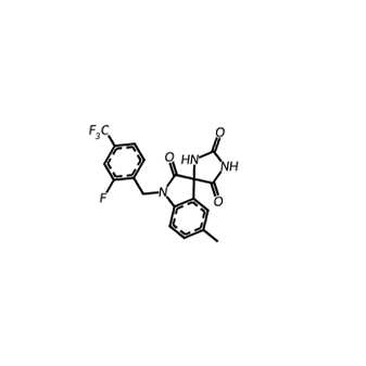 Cc1ccc2c(c1)C1(NC(=O)NC1=O)C(=O)N2Cc1ccc(C(F)(F)F)cc1F